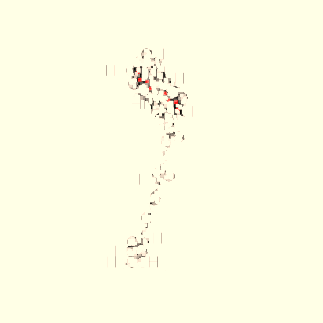 CN1C(=O)[C@@]23C[C@]4([C@]56C[C@@]78SS[C@@](COC(=O)OCCCCC(=O)NCCOCCOCCNC(=O)OC(C)(C)C)(C(=O)N7[C@H]5Nc5ccccc56)N(C)C8=O)c5ccccc5N[C@@H]4N2C(=O)[C@]1(CO)SS3